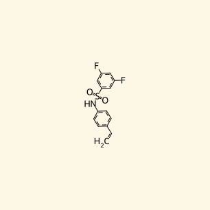 C=Cc1ccc(NS(=O)(=O)c2cc(F)cc(F)c2)cc1